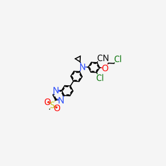 CS(=O)(=O)c1cnc2cc(-c3ccc(N(c4cc(Cl)c(OCCCl)c(C#N)c4)C4CC4)cc3)ccc2n1